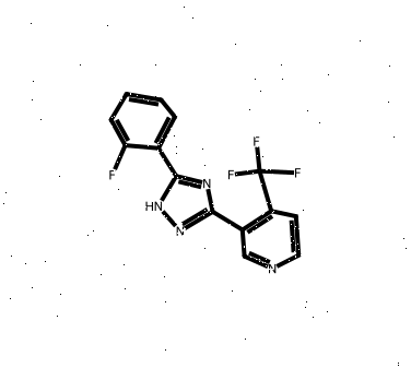 Fc1ccccc1-c1nc(-c2cnccc2C(F)(F)F)n[nH]1